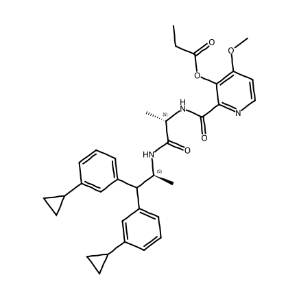 CCC(=O)Oc1c(OC)ccnc1C(=O)N[C@@H](C)C(=O)N[C@@H](C)C(c1cccc(C2CC2)c1)c1cccc(C2CC2)c1